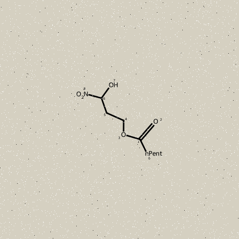 CCCCCC(=O)OCCC(O)[N+](=O)[O-]